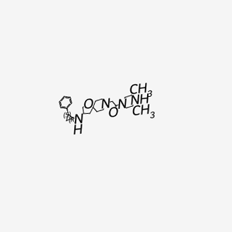 CC1CN(C(=O)CN2CCC3(CC2)CC(N[C@@H]2C[C@H]2c2ccccc2)CO3)CC(C)N1